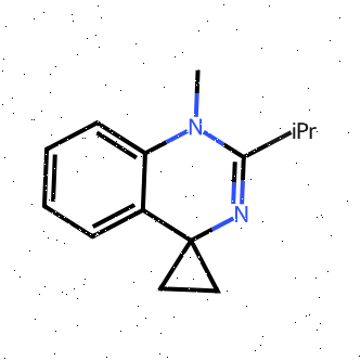 CC(C)C1=NC2(CC2)c2ccccc2N1C